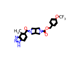 Cc1c(C(=O)N2CC3CN(C(=O)OCc4ccc(OC(F)(F)F)cc4)CC3C2)ccc2[nH]nnc12